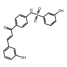 O=C(C=Cc1cccc(O)c1)c1ccc(NS(=O)(=O)c2cccc(O)c2)cc1